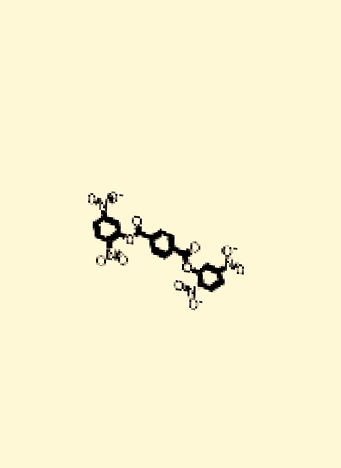 O=C(Oc1cc([N+](=O)[O-])ccc1[N+](=O)[O-])c1ccc(C(=O)Oc2cc([N+](=O)[O-])ccc2[N+](=O)[O-])cc1